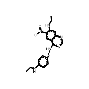 CCNc1ccc(CNc2ncnc3cc(NCC)c([N+](=O)[O-])cc23)cc1